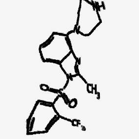 Cc1nc2c(N3CCNCC3)cccc2n1S(=O)(=O)c1ccccc1C(F)(F)F